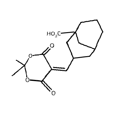 CC1(C)OC(=O)C(=CC2CC3CCCC(C(=O)O)(C2)C3)C(=O)O1